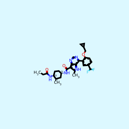 CCC(=O)N[C@H]1CC[C@H](NC(=O)c2c(C)[nH]c3c(-c4cc(C(F)F)ccc4OCC4CC4)ncnc23)C[C@H]1C